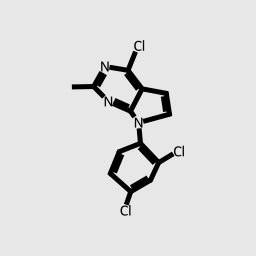 Cc1nc(Cl)c2ccn(-c3ccc(Cl)cc3Cl)c2n1